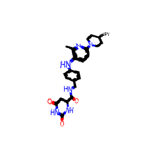 Cc1nc(N2CCC(C(C)C)CC2)ccc1Nc1ccc(CNC(=O)C2CC(=O)NC(=O)N2)cc1